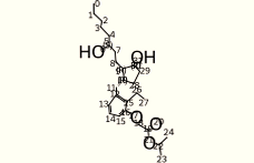 CCCCC[C@H](O)CC[C@@H]1[C@@H](Cc2cccc(OCC(=O)OC(C)C)c2CC)CC[C@H]1O